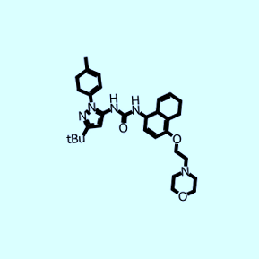 CC1=CC=C(n2nc(C(C)(C)C)cc2NC(=O)NC2C=CC(OCCN3CCOCC3)=C3CCC=CC32)CC1